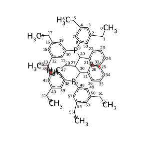 CCc1cc(CC)cc(P(c2cc(CC)cc(CC)c2)C(c2ccccc2)C(CC)C(c2ccccc2)P(c2cc(CC)cc(CC)c2)c2cc(CC)cc(CC)c2)c1